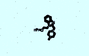 CCCOCCn1c(CN2CCN(C)CC2)nc2ccccc21